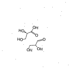 O=C(O)[C@H](O)CO.O=CC(O)CO